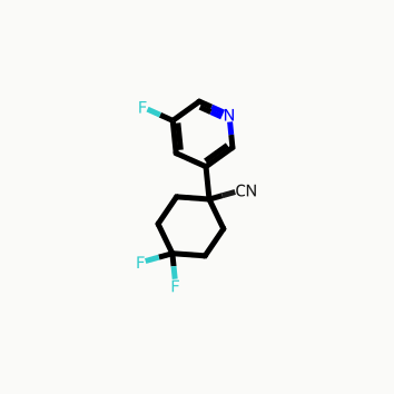 N#CC1(c2cncc(F)c2)CCC(F)(F)CC1